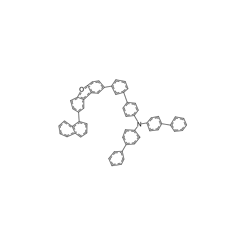 c1ccc(-c2ccc(N(c3ccc(-c4ccccc4)cc3)c3ccc(-c4cccc(-c5ccc6oc7ccc(-c8cccc9ccccc89)cc7c6c5)c4)cc3)cc2)cc1